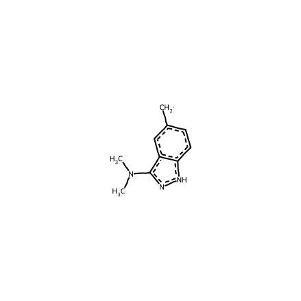 [CH2]c1ccc2[nH]nc(N(C)C)c2c1